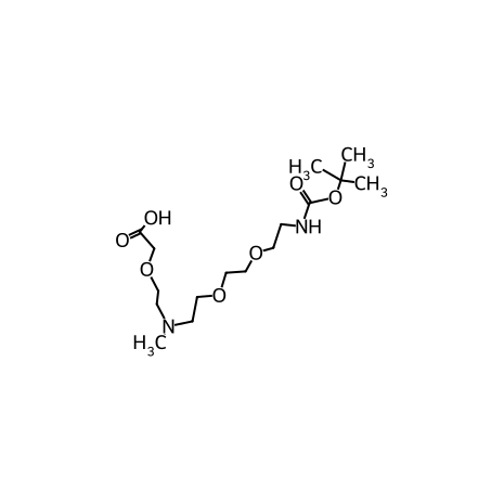 CN(CCOCCOCCNC(=O)OC(C)(C)C)CCOCC(=O)O